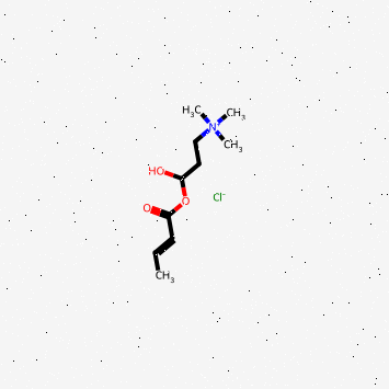 CC=CC(=O)OC(O)CC[N+](C)(C)C.[Cl-]